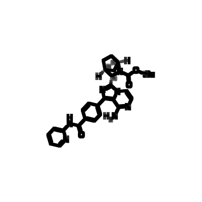 CC(C)(C)OC(=O)N1[C@@H]2CC[C@@H](C2)[C@H]1c1nc(-c2ccc(C(=O)Nc3ccccn3)cc2)c2c(N)nccn12